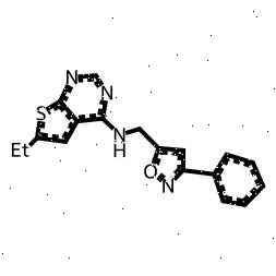 CCc1cc2c(NCc3cc(-c4ccccc4)no3)ncnc2s1